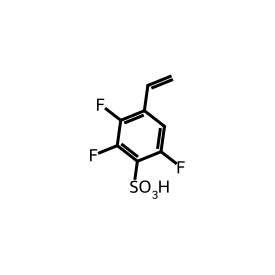 C=Cc1cc(F)c(S(=O)(=O)O)c(F)c1F